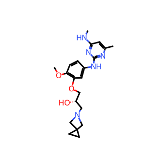 CNc1cc(C)nc(Nc2ccc(OC)c(OC[C@@H](O)CN3CC4(CC4)C3)c2)n1